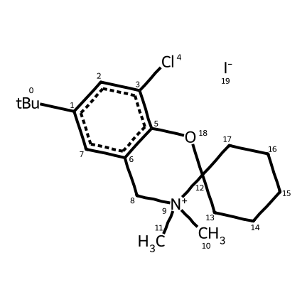 CC(C)(C)c1cc(Cl)c2c(c1)C[N+](C)(C)C1(CCCCC1)O2.[I-]